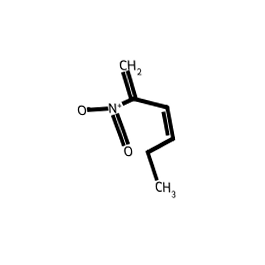 C=C(/C=C\CC)[N+](=O)[O-]